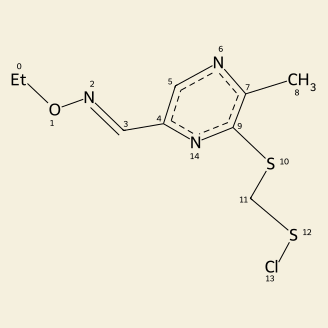 CCO/N=C/c1cnc(C)c(SCSCl)n1